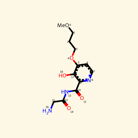 COCCCOc1ccnc(C(=O)NC(=O)CN)c1O